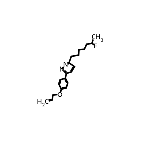 C=CCOc1ccc(-c2ccc(CCCCCC(C)F)nn2)cc1